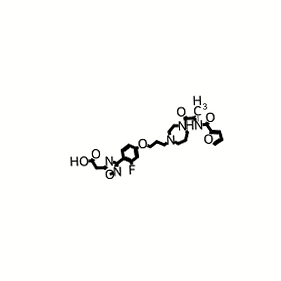 C[C@H](NC(=O)c1ccco1)C(=O)N1CCCN(CCCOc2ccc(-c3noc(CC(=O)O)n3)c(F)c2)CC1